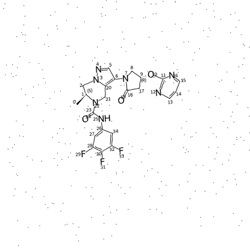 C[C@H]1Cn2ncc(N3C[C@H](Oc4ncccn4)CC3=O)c2CN1C(=O)Nc1cc(F)c(F)c(F)c1